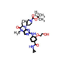 CCC1C(=O)N(C)c2cnc(Nc3ccc(C(=O)NC4CC4)cc3OCCO)nc2N1C1CCN(C(=O)OC(C)(C)C)CC1